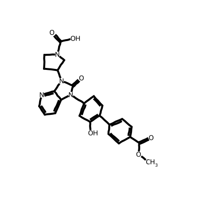 COC(=O)c1ccc(-c2ccc(-n3c(=O)n(C4CCN(C(=O)O)C4)c4ncccc43)cc2O)cc1